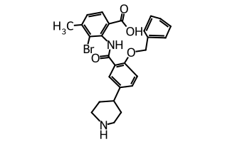 Cc1ccc(C(=O)O)c(NC(=O)c2cc(C3CCNCC3)ccc2OCc2ccccc2)c1Br